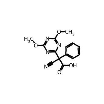 COc1nc(OC)nc(C(C#N)(C(=O)O)c2ccccc2)n1